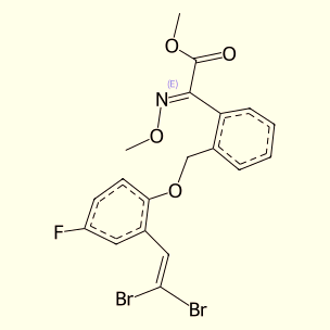 CO/N=C(/C(=O)OC)c1ccccc1COc1ccc(F)cc1C=C(Br)Br